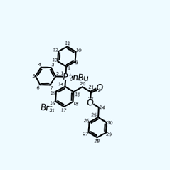 CCCC[P+](c1ccccc1)(c1ccccc1)c1ccccc1CC(=O)OCc1ccccc1.[Br-]